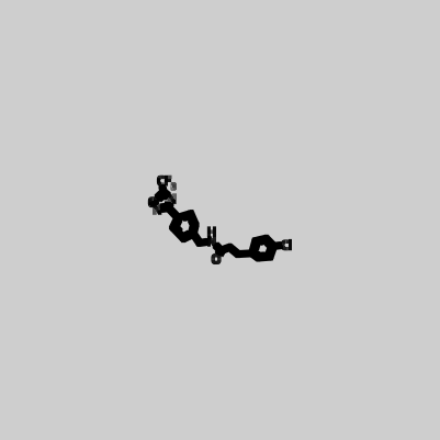 O=C(CCc1ccc(Cl)cc1)NCc1ccc(-c2noc(C(F)(F)F)n2)cc1